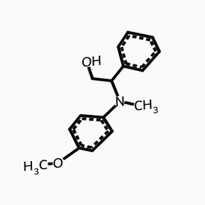 COc1ccc(N(C)C(CO)c2ccccc2)cc1